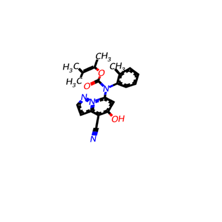 CC(C)=C(C)OC(=O)N(c1ccccc1C)c1cc(O)c(C#N)c2ccnn12